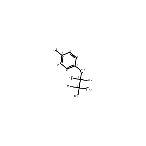 [CH]c1ccc(OC(F)(F)C(F)(F)F)cc1